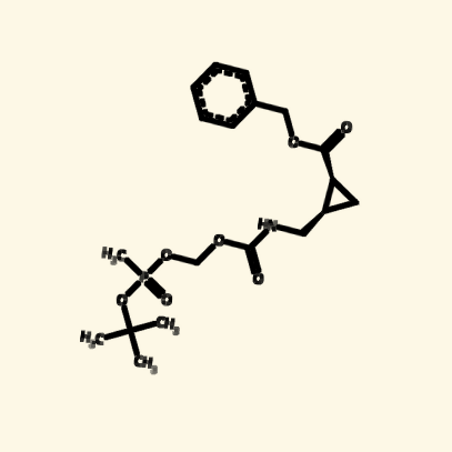 CC(C)(C)OP(C)(=O)OCOC(=O)NC[C@@H]1C[C@@H]1C(=O)OCc1ccccc1